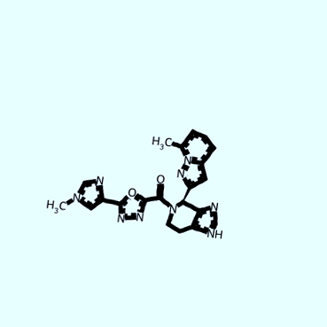 Cc1cccc2cc([C@H]3c4nc[nH]c4CCN3C(=O)c3nnc(-c4cn(C)cn4)o3)nn12